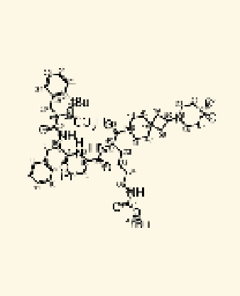 CC(C)C[C@@H](NC(=O)[C@@H](Cc1ccccc1)NC(=O)[C@@H](Cc1ccccc1)N(C(=O)O)C(C)(C)C)C(=O)N[C@H](CCCCNC(=O)OC(C)(C)C)C(=O)N1CCC2(CC1)CC(N1CCS(=O)(=O)CC1)C2